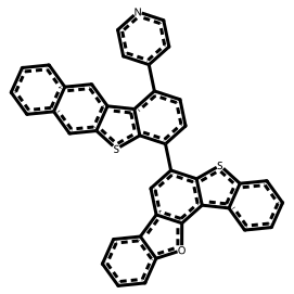 c1ccc2cc3c(cc2c1)sc1c(-c2cc4c5ccccc5oc4c4c2sc2ccccc24)ccc(-c2ccncc2)c13